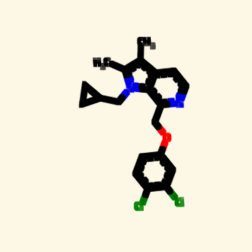 Cc1c(C)n(CC2CC2)c2c(COc3ccc(Cl)c(Cl)c3)nccc12